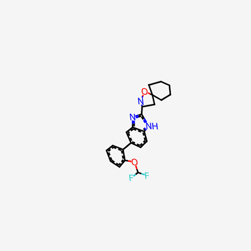 FC(F)Oc1ccccc1-c1ccc2[nH]c(C3=NOC4(CCCCC4)C3)nc2c1